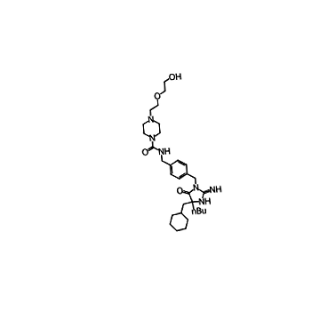 CCCCC1(CC2CCCCC2)NC(=N)N(Cc2ccc(CNC(=O)N3CCN(CCOCCO)CC3)cc2)C1=O